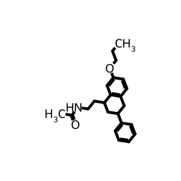 CCCOc1ccc2c(c1)C(CCNC(C)=O)CC(c1ccccc1)C2